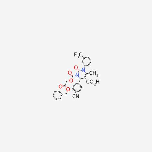 CC1=C(C(=O)O)C(c2ccc(C#N)cc2)N(C(=O)OCC(=O)OCc2ccccc2)C(=O)N1c1cccc(C(F)(F)F)c1